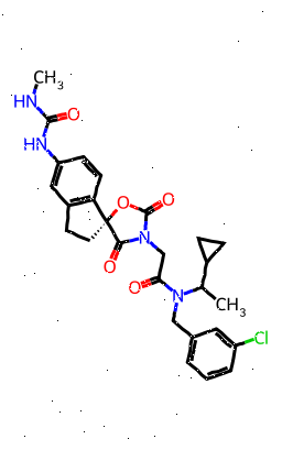 CNC(=O)Nc1ccc2c(c1)CC[C@@]21OC(=O)N(CC(=O)N(Cc2cccc(Cl)c2)C(C)C2CC2)C1=O